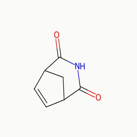 O=C1NC(=O)C2C=CC1C2